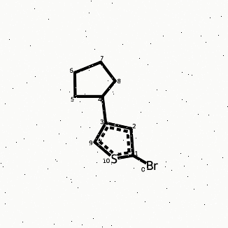 Brc1cc(C2CCCC2)cs1